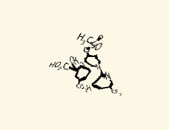 CC1(C(=O)O)C=CC=C(C(=O)O)C1.CS(=O)(=O)OC1CCN(c2ccc(C(F)(F)F)cn2)CC1